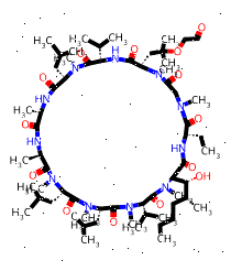 CCCC[C@@H](C)[C@@H](O)[C@H]1C(=O)N[C@@H](CC)C(=O)N(C)CC(=O)N(C)[C@@H](CC(C)(C)OCC=O)C(=O)N[C@@H](C(C)C)C(=O)N(C)[C@@H](CC(C)C)C(=O)N[C@@H](C)C(=O)N[C@H](C)C(=O)N(C)[C@@H](CC(C)C)C(=O)N(C)[C@@H](CC(C)C)C(=O)N(C)[C@@H](C(C)C)C(=O)N1C